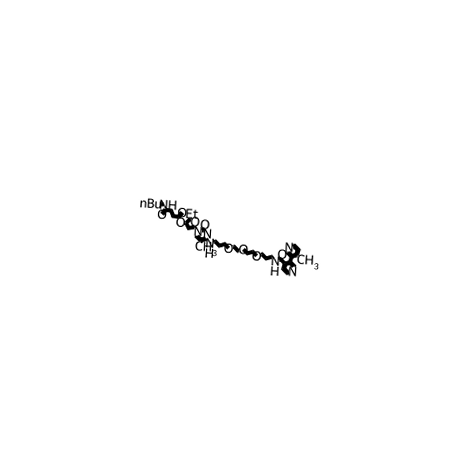 CCCCNC(=O)CCC(=O)OC1CC(n2cc(C)c(NCCCOCCOCCOCCCNC(=O)c3ccncc3-c3cnccc3C)nc2=O)OC1CC